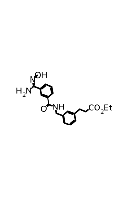 CCOC(=O)CCc1cccc(CNC(=O)c2cccc(/C(N)=N\O)c2)c1